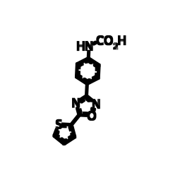 O=C(O)Nc1ccc(-c2noc(-c3cccs3)n2)cc1